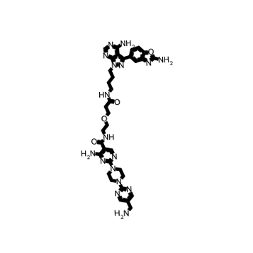 NCc1cnc(N2CCN(c3ncc(C(=O)NCCOCCC(=O)NCCCCn4nc(-c5ccc6oc(N)nc6c5)c5c(N)ncnc54)c(N)n3)CC2)nc1